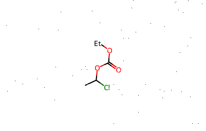 [CH2]COC(=O)OC(C)Cl